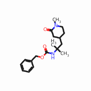 CN1CCC(CC(C)(C)NC(=O)OCc2ccccc2)CC1=O